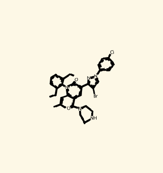 CCc1cccc(CC)c1-n1c(C=C(C)C)c(C(=O)N2CCNCC2)cc(-c2nn(-c3ccc(Cl)cc3)cc2Br)c1=O